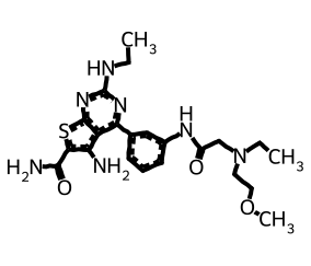 CCNc1nc(-c2cccc(NC(=O)CN(CC)CCOC)c2)c2c(N)c(C(N)=O)sc2n1